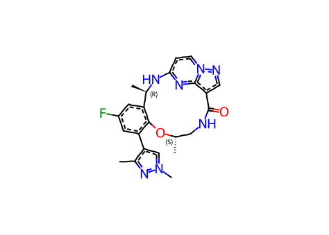 Cc1nn(C)cc1-c1cc(F)cc2c1O[C@@H](C)CNC(=O)c1cnn3ccc(nc13)N[C@@H]2C